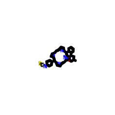 Cc1ccnc(-c2ccccc2C2=C3C=CC(=N3)C=C3C=CC(=N3)C(c3ccc(N=C=S)cc3)=C3C=CC(=N3)C=C3C=CC2=N3)c1